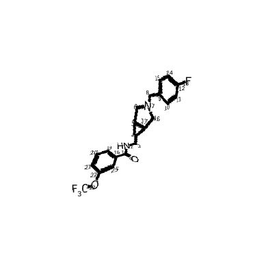 O=C(NCC1C2CN(Cc3ccc(F)cc3)CC12)c1cccc(OC(F)(F)F)c1